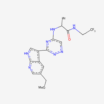 COCc1cnc2[nH]cc(-c3nncc(NC(C(=O)NCC(F)(F)F)C(C)C)n3)c2c1